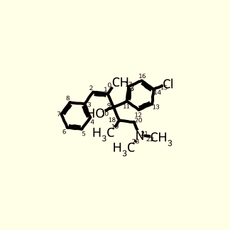 C/C(=C/c1ccccc1)C(O)(c1ccc(Cl)cc1)C(C)CN(C)C